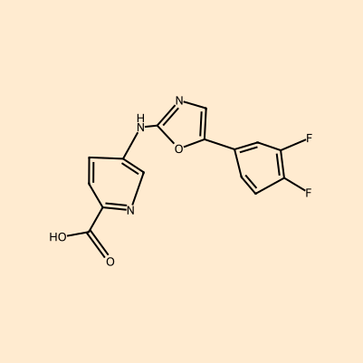 O=C(O)c1ccc(Nc2ncc(-c3ccc(F)c(F)c3)o2)cn1